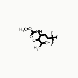 COC(=O)NC(CCC(F)(F)F)C(=O)C(C)C